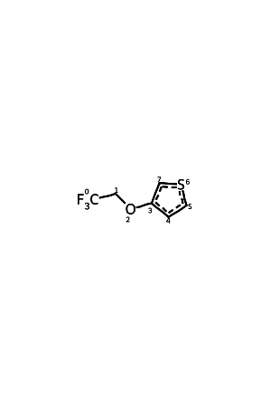 FC(F)(F)COc1ccsc1